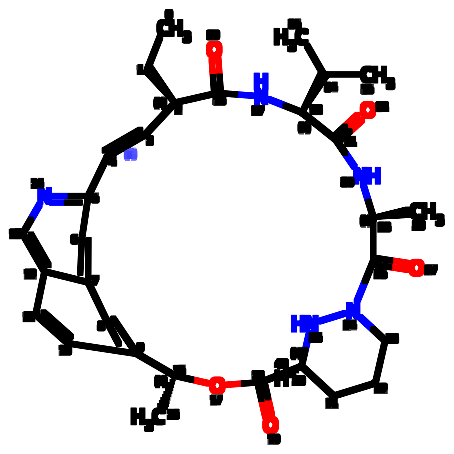 CC[C@@H]1/C=C/c2cc3cc(ccc3cn2)[C@@H](C)OC(=O)[C@@H]2CCCN(N2)C(=O)[C@H](C)NC(=O)[C@H](C(C)C)NC1=O